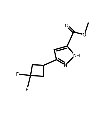 COC(=O)c1cc(C2CC(F)(F)C2)n[nH]1